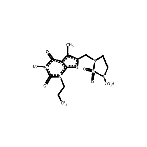 CCn1c(=O)c2c(C)c(CN3CCN(C(=O)O)S3(=O)=O)sc2n(CCC(F)(F)F)c1=O